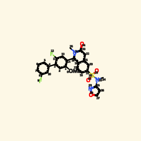 COc1cc(-c2cccc(F)c2)c(F)cc1-c1c2ccc(S(=O)(=O)N(C)c3ccon3)cc2cc(=O)n1C